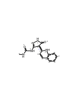 CNC(=O)NC1=NNC(=O)/C1=C1/C=Cc2ccccc2N1